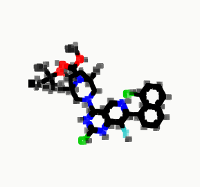 CC(C)(C)OC(=O)N1[C@@H]2C[C@@H](O[Si](C)(C)C(C)(C)C)[C@H]1CN(c1nc(Cl)nc3c(F)c(-c4cccc5cccc(Cl)c45)ncc13)C2